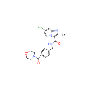 CCc1nc2cc(Cl)ccn2c1C(=O)NCc1ccc(C(=O)N2CCOCC2)cc1